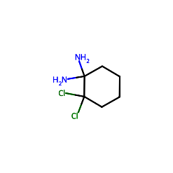 NC1(N)CCCCC1(Cl)Cl